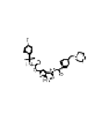 CC(C)(NC(=O)Oc1cc2c(NC(=O)c3ccc(CN4CCOCC4)cc3)n[nH]c2s1)c1ccc(F)cc1